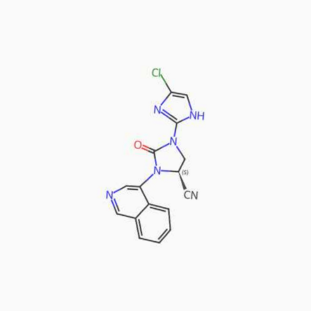 N#C[C@@H]1CN(c2nc(Cl)c[nH]2)C(=O)N1c1cncc2ccccc12